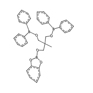 CC(COB1Oc2ccccc2O1)(COB(c1ccccc1)c1ccccc1)COB(c1ccccc1)c1ccccc1